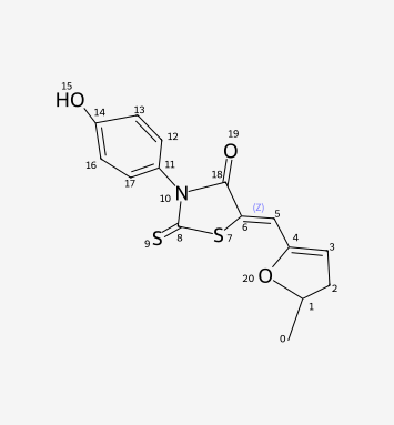 CC1CC=C(/C=C2\SC(=S)N(c3ccc(O)cc3)C2=O)O1